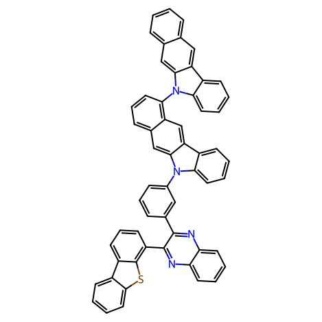 c1cc(-c2nc3ccccc3nc2-c2cccc3c2sc2ccccc23)cc(-n2c3ccccc3c3cc4c(-n5c6ccccc6c6cc7ccccc7cc65)cccc4cc32)c1